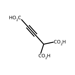 O=C(O)C#CC(C(=O)O)C(=O)O